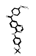 COC1CCN(C(=O)c2ccc3c(Nc4ccc(OC(F)(F)F)cc4)ncnc3c2)CC1